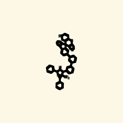 CC12C(c3cccc(-c4cccc(-c5ccc6c(c5)C5(C7=C(C=CNC7)Oc7ccncc75)c5ccccc5-6)c4)c3)NC(c3ccccc3)N1C2c1ccccc1